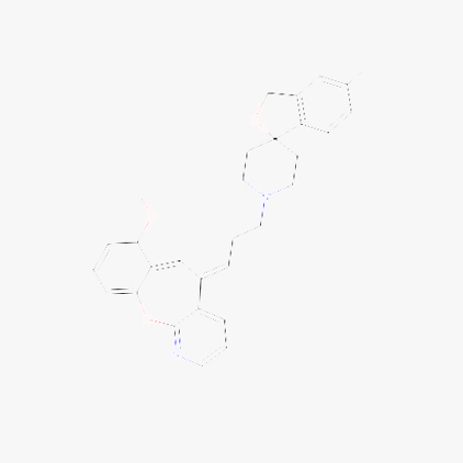 COC1C=CC=C2Oc3ncccc3C(=CCCN3CCC4(CC3)OCc3cc(Cl)ccc34)C=C21